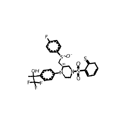 CC(O)(c1ccc(N2CCN(S(=O)(=O)C3=CC=CCC3=S)C[C@@H]2C[S+]([O-])c2ccc(F)cc2)cc1)C(F)(F)F